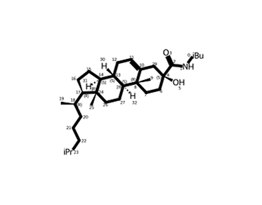 CCC(C)NC(=O)[C@]1(O)CC[C@@]2(C)C(=CC[C@H]3[C@@H]4CC[C@H]([C@H](C)CCCC(C)C)[C@@]4(C)CC[C@@H]32)C1